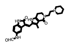 Cc1c(/C=C2\C(=O)Nc3ccc(NC=O)cc32)[nH]c2c1C(=O)N(CCN1CCCCC1)CC2